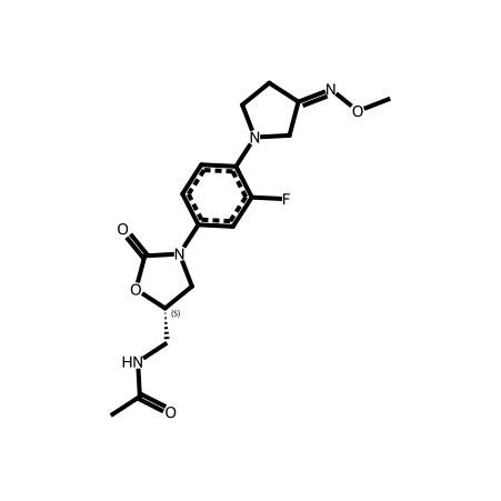 CON=C1CCN(c2ccc(N3C[C@H](CNC(C)=O)OC3=O)cc2F)C1